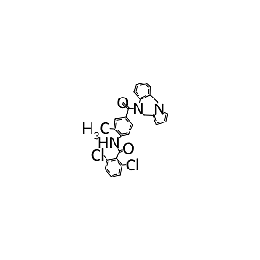 Cc1cc(C(=O)N2Cc3cccn3Cc3ccccc32)ccc1NC(=O)c1c(Cl)cccc1Cl